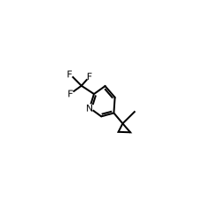 CC1(c2ccc(C(F)(F)F)nc2)CC1